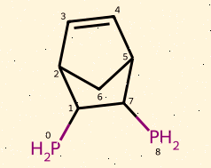 PC1C2C=CC(C2)C1P